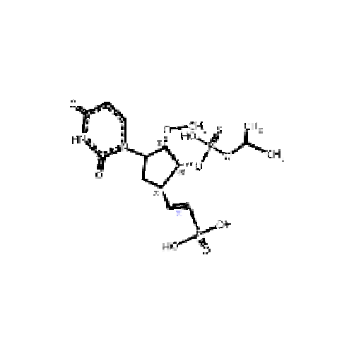 CO[C@H]1C(n2ccc(=O)[nH]c2=O)C[C@H](/C=C/P(=O)(O)O)[C@H]1OP(O)(=S)OC(C)C